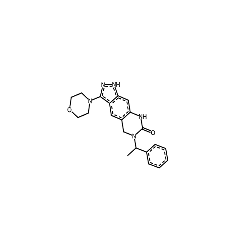 CC(c1ccccc1)N1Cc2cc3c(N4CCOCC4)n[nH]c3cc2NC1=O